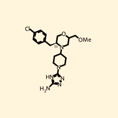 COCC1CN(C2CCN(c3nnc(N)[nH]3)CC2)[C@@H](Cc2ccc(Cl)cc2)CO1